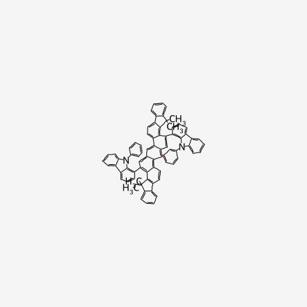 CC1(C)c2ccccc2-c2ccc3c(c(-c4cccc5c6ccccc6n(-c6ccccc6)c45)cc4cc5c(cc(-c6cccc7c8ccccc8n(-c8ccccc8)c67)c6c7c(ccc65)-c5ccccc5C7(C)C)cc43)c21